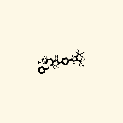 COC(=O)C1SC(c2ccc(C(=O)NC(Cc3c[nH]cn3)C(=O)OCc3ccccc3)cc2)SC1C(=O)OC